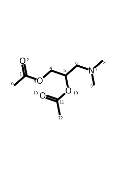 CC(=O)OCC(CN(C)C)OC(C)=O